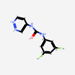 O=C(Nc1ccnnc1)Nc1cc(F)cc(F)c1